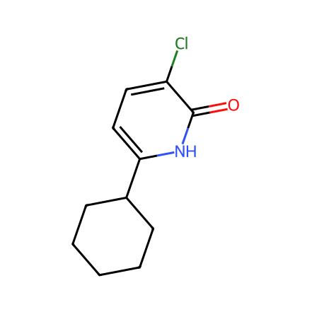 O=c1[nH]c(C2CCCCC2)ccc1Cl